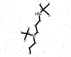 CCCN(CCCNC(C)(C)C)C(C)(C)C